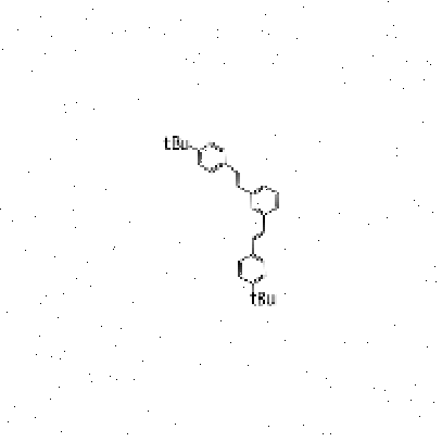 CC(C)(C)c1ccc(C=Cc2cccc(C=Cc3ccc(C(C)(C)C)cc3)c2)cc1